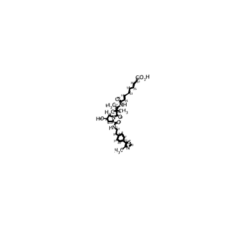 Cc1ncsc1-c1ccc(CCNC(=O)[C@@H]2C[C@@H](O)CN2C(=O)C(C)(C)[C@H](C)NC(=O)CCCCCCCC(=O)O)cc1